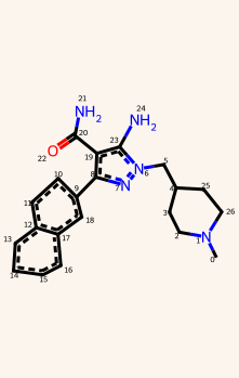 CN1CCC(Cn2nc(-c3ccc4ccccc4c3)c(C(N)=O)c2N)CC1